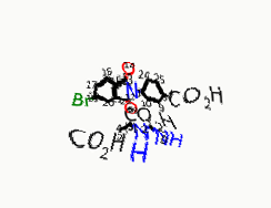 N=CN[C@@H](CC(=O)O)C(=O)O.O=C(O)c1ccc(N2C(=O)c3ccc(Br)cc3C2=O)cc1